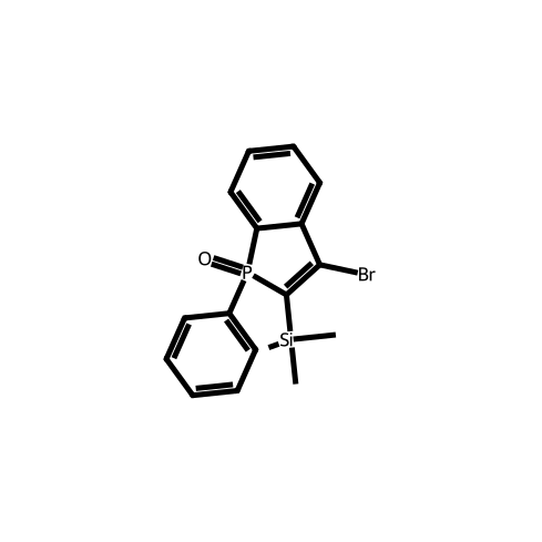 C[Si](C)(C)C1=C(Br)c2ccccc2P1(=O)c1ccccc1